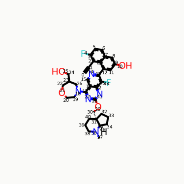 C#Cc1c(F)ccc2cc(O)cc(-c3ncc4c(N5CCOCC(CO)C5)nc(OC[C@]56CCC[C@H]5N(C)CCC6)nc4c3F)c12